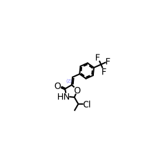 CC(Cl)C1NC(=O)/C(=C/c2ccc(C(F)(F)F)cc2)O1